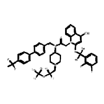 [2H]C([2H])([2H])OC([2H])([2H])CN1CCC(N(Cc2ccc(-c3ccc(C(F)(F)F)cc3)cc2)C(=O)CN2C(SC([2H])([2H])c3cccc(F)c3F)=CC(O)c3ccccc32)CC1